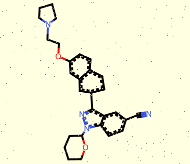 N#Cc1ccc2c(c1)c(-c1ccc3ccc(OCCN4CCCC4)cc3c1)nn2C1CCCCO1